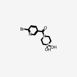 O=C(c1ccc(Br)nc1)N1CCS(O)(O)CC1